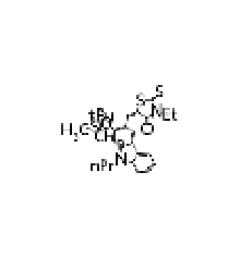 CCCn1c2ccccc2c2cc(C=C3SC(=S)N(CC)C3=O)c(O[Si](C)(C)C(C)(C)C)cc21